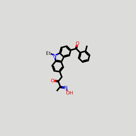 CCn1c2ccc(CC(=O)C(C)=NO)cc2c2cc(C(=O)c3ccccc3C)ccc21